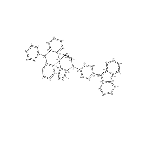 c1ccc(N2c3ccccc3C3(c4ccccc42)c2ccccc2N(c2ccc(-n4c5cccnc5c5ncccc54)nc2)c2ccccc23)cc1